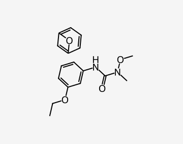 CCOc1cccc(NC(=O)N(C)OC)c1.c1cc2cc(c1)O2